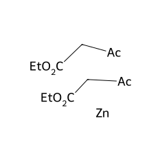 CCOC(=O)CC(C)=O.CCOC(=O)CC(C)=O.[Zn]